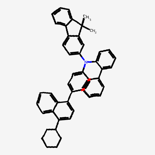 CC1(C)c2ccccc2-c2ccc(N(c3ccc(-c4ccc(C5CCCCC5)c5ccccc45)cc3)c3ccccc3-c3ccccc3)cc21